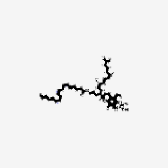 CCCCC/C=C\C/C=C\C/C=C\CCCCC(=O)OCCCC(CC[C@H](C)CCC[C@H](C)CCCC(C)C)[C@]1(C)CCc2c(CC)c(OP(=O)(O)O)c(C)c(C)c2O1